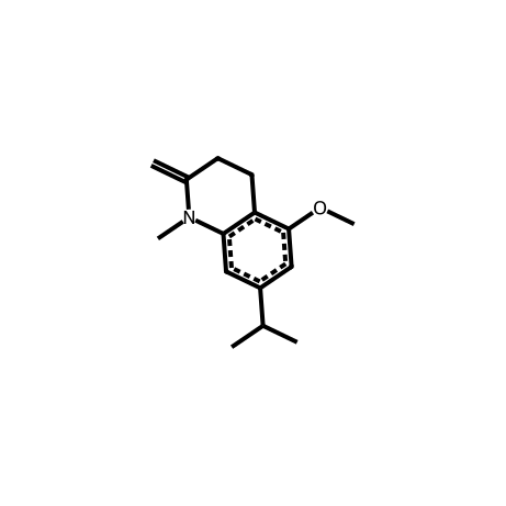 C=C1CCc2c(OC)cc(C(C)C)cc2N1C